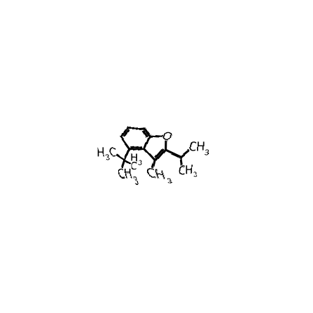 Cc1c(C(C)C)oc2cccc(C(C)(C)C)c12